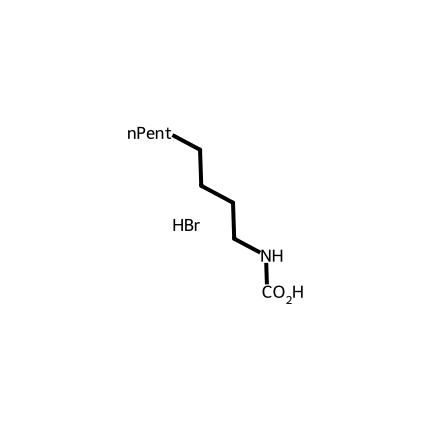 Br.CCCCCCCCCNC(=O)O